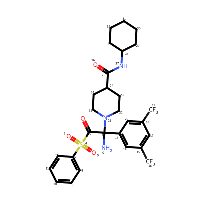 NC(C(=O)S(=O)(=O)c1ccccc1)(c1cc(C(F)(F)F)cc(C(F)(F)F)c1)N1CCC(C(=O)NC2CCCCC2)CC1